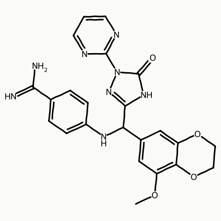 COc1cc(C(Nc2ccc(C(=N)N)cc2)c2nn(-c3ncccn3)c(=O)[nH]2)cc2c1OCCO2